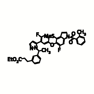 CCOC(=O)CCc1cccc(C(C)n2nccc2-c2cc(Oc3c(F)cc4c(ccn4S(=O)(=O)c4ccccc4C)c3SC)ccc2F)c1